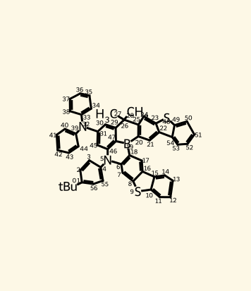 CC(C)(C)c1ccc(N2c3cc4sc5ccccc5c4cc3B3c4cc5c(cc4C(C)(C)c4cc(N(c6ccccc6)c6ccccc6)cc2c43)sc2ccccc25)cc1